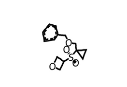 O=S(=O)(C1COC1)C1(COCc2ccccc2)CC1